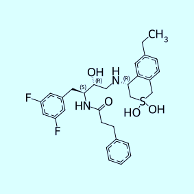 CCc1ccc2c(c1)[C@@H](NC[C@@H](O)[C@H](Cc1cc(F)cc(F)c1)NC(=O)CCc1ccccc1)CS(O)(O)C2